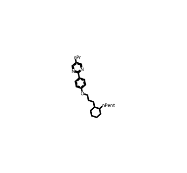 CCCCCC1CCCCC1CCCOc1ccc(-c2ncc(CCC)cn2)cc1